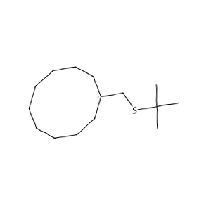 CC(C)(C)SC[C]1CCCCCCCCC1